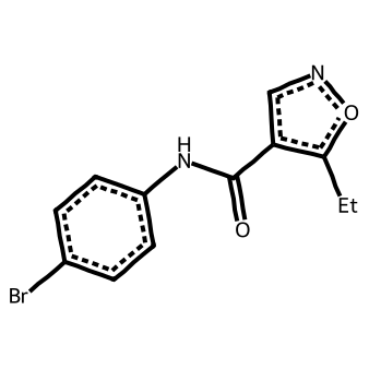 CCc1oncc1C(=O)Nc1ccc(Br)cc1